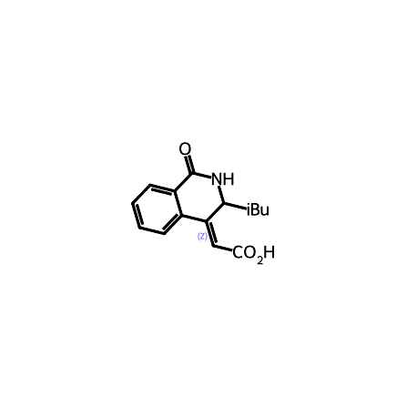 CCC(C)C1NC(=O)c2ccccc2/C1=C/C(=O)O